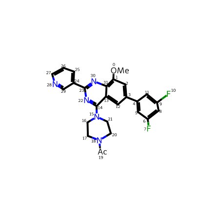 COc1cc(-c2cc(F)cc(F)c2)cc2c(N3CCN(C(C)=O)CC3)nc(-c3cccnc3)nc12